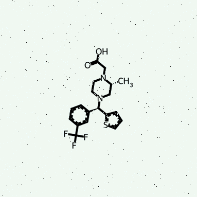 C[C@@H]1CN([C@H](c2cccc(C(F)(F)F)c2)c2cccs2)CCN1CC(=O)O